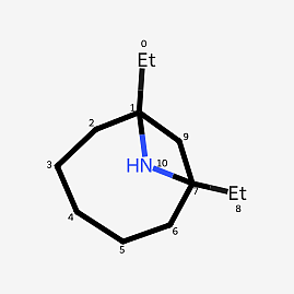 CCC12CCCCCC(CC)(C1)N2